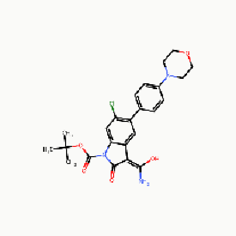 CC(C)(C)OC(=O)N1C(=O)/C(=C(\N)O)c2cc(-c3ccc(N4CCOCC4)cc3)c(Cl)cc21